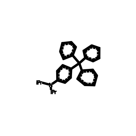 CC(C)N(c1ccc(C(c2ccccc2)(c2ccccc2)c2ccccc2)cc1)C(C)C